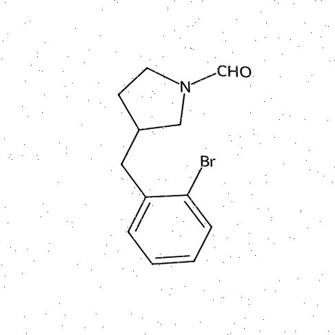 O=CN1CCC(Cc2ccccc2Br)C1